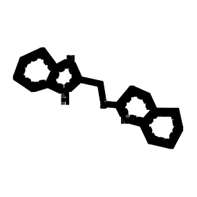 c1ccc2nc(SCc3nc4ccccc4[nH]3)ccc2c1